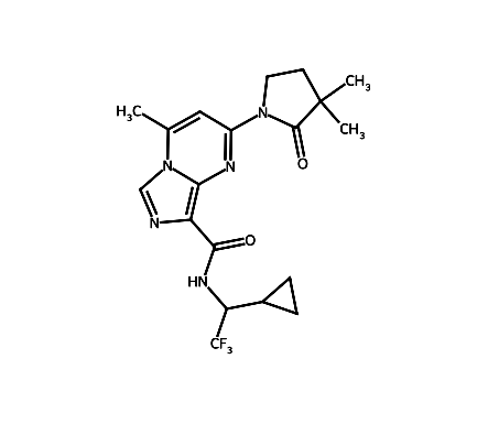 Cc1cc(N2CCC(C)(C)C2=O)nc2c(C(=O)NC(C3CC3)C(F)(F)F)ncn12